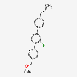 C=CCc1ccc(-c2ccc(-c3ccc(COCCCC)cc3)c(F)c2)cc1